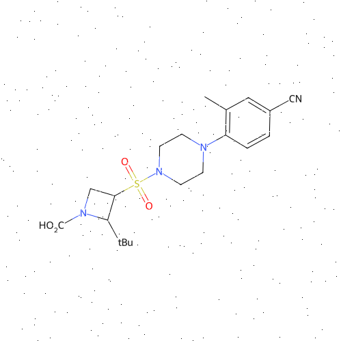 Cc1cc(C#N)ccc1N1CCN(S(=O)(=O)C2CN(C(=O)O)C2C(C)(C)C)CC1